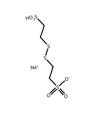 O=S(=O)([O-])CCSSCCS(=O)(=O)O.[Na+]